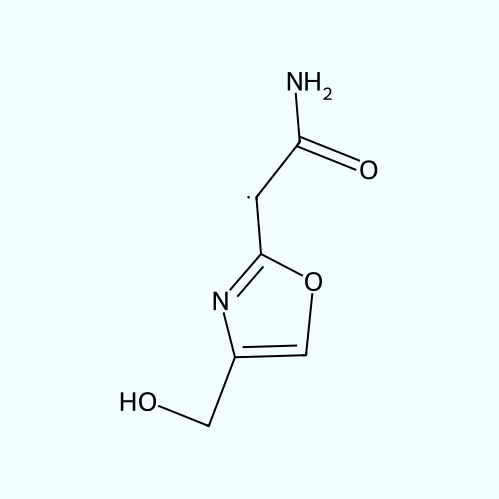 NC(=O)[CH]c1nc(CO)co1